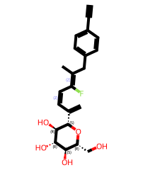 C#Cc1ccc(C/C(C)=C(F)/C=C\C(=C)[C@@H]2O[C@H](CO)[C@@H](O)[C@H](O)[C@H]2O)cc1